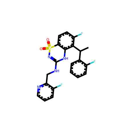 CC(c1ccccc1F)c1c(F)ccc2c1NC(NCc1ncccc1F)=NS2(=O)=O